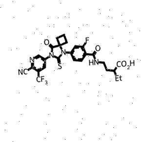 CCC(CCNC(=O)c1ccc(N2C(=S)N(c3cnc(C#N)c(C(F)(F)F)c3)C(=O)C23CCC3)cc1F)C(=O)O